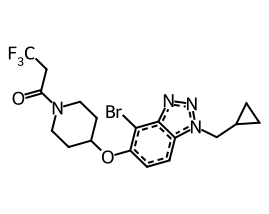 O=C(CC(F)(F)F)N1CCC(Oc2ccc3c(nnn3CC3CC3)c2Br)CC1